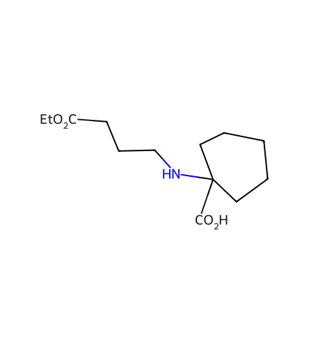 CCOC(=O)CCCNC1(C(=O)O)CCCCC1